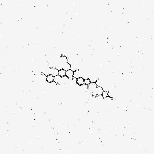 COc1cn([C@@H](CCOC(C)(C)C)C(=O)Nc2ccc3[nH]c(C(=O)OCc4oc(=O)oc4C)cc3c2)c(=O)cc1-c1cc(Cl)ccc1C(C)=O